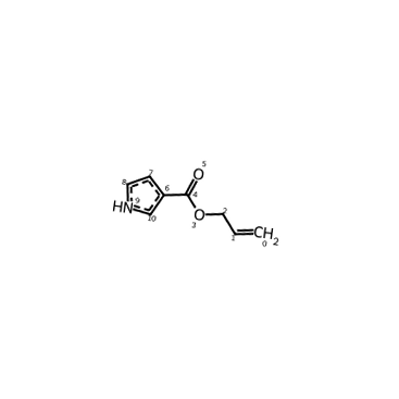 C=CCOC(=O)c1cc[nH]c1